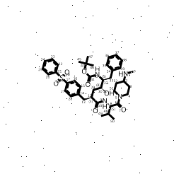 CNC1CCN(C(=O)[C@@H](NC(=O)[C@@H](Cc2ccc(S(=O)(=O)c3ccccc3)cc2)C[C@@H](O)[C@H](Cc2ccccc2)NC(=O)OC(C)(C)C)C(C)C)CC1